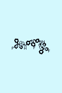 O=C(Nc1ccc(CN(Cc2ccc(NC(=O)[C@@H]3CCCN3C(=O)[C@@H](c3ccccc3)N3CC[C@@H](F)C3)cc2)c2ccc(F)cc2)cc1)[C@@H]1CCCN1C(=O)[C@H](c1ccccc1)N1CC[C@@H](F)C1